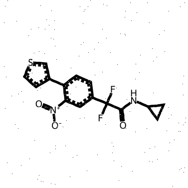 O=C(NC1CC1)C(F)(F)c1ccc(-c2ccsc2)c([N+](=O)[O-])c1